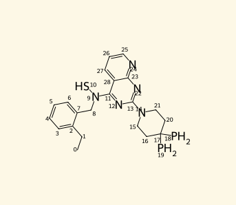 CCc1ccccc1CN(S)c1nc(N2CCC(P)(P)CC2)nc2ncccc12